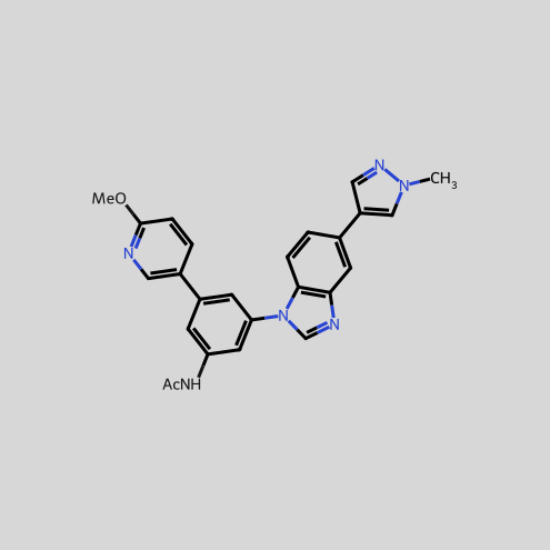 COc1ccc(-c2cc(NC(C)=O)cc(-n3cnc4cc(-c5cnn(C)c5)ccc43)c2)cn1